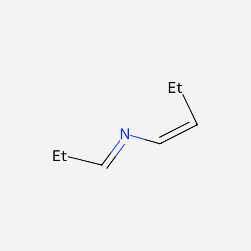 CC/C=C\N=C\CC